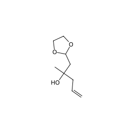 C=CCC(C)(O)CC1OCCO1